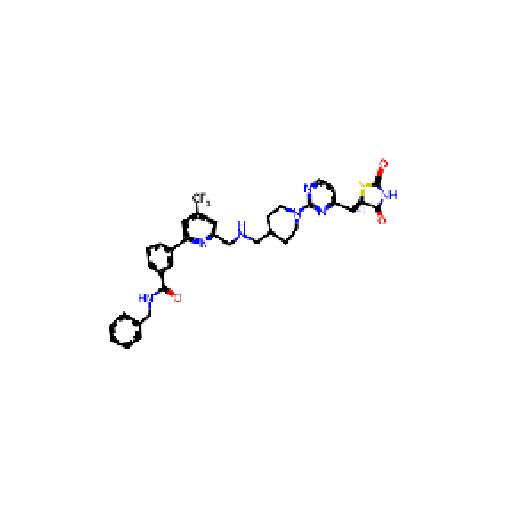 O=C1NC(=O)/C(=C/c2ccnc(N3CCC(CNCc4cc(C(F)(F)F)cc(-c5cccc(C(=O)NCc6ccccc6)c5)n4)CC3)n2)S1